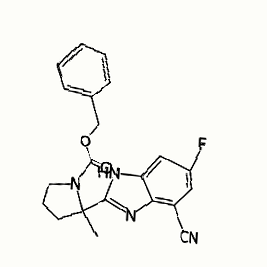 CC1(c2nc3c(C#N)cc(F)cc3[nH]2)CCCN1C(=O)OCc1ccccc1